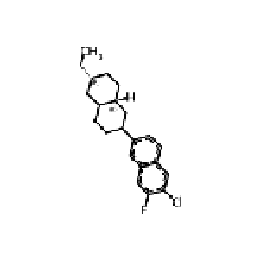 CC[C@@H]1CC[C@@H]2CC(c3ccc4cc(Cl)c(F)cc4c3)CCC2C1